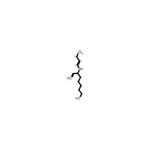 C=CC(CCCCCC)N/C=C/CC